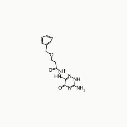 Nc1nc(=O)c(NNC(=O)CCOCc2ccccc2)n[nH]1